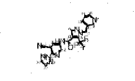 N#Cc1cc(NC(=O)c2cnn(Cc3cccnc3)c2C(F)(F)F)cnc1-n1nccn1